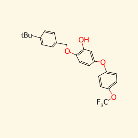 CC(C)(C)c1ccc(COc2ccc(Oc3ccc(OC(F)(F)F)cc3)cc2O)cc1